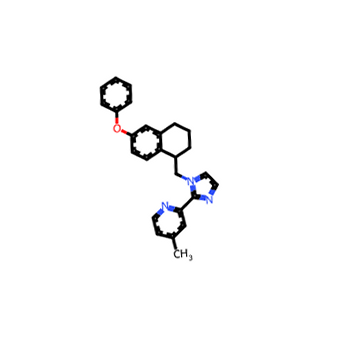 Cc1ccnc(-c2nccn2CC2CCCc3cc(Oc4ccccc4)ccc32)c1